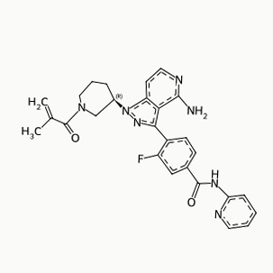 C=C(C)C(=O)N1CCC[C@@H](n2nc(-c3ccc(C(=O)Nc4ccccn4)cc3F)c3c(N)nccc32)C1